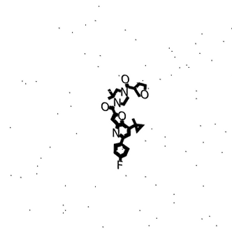 CC1(c2cc(-c3ccc(F)cc3)nc3cc(C(=O)N4CCN(C(=O)C5CCOC5)CC4(C)C)oc23)CC1